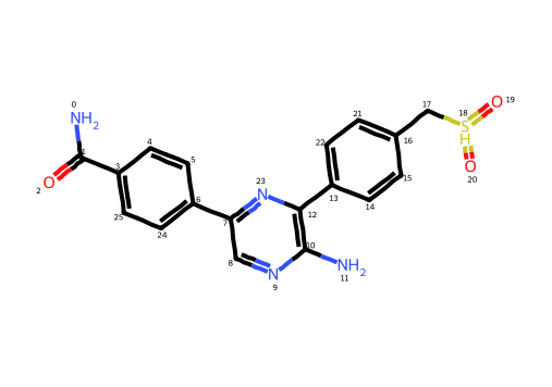 NC(=O)c1ccc(-c2cnc(N)c(-c3ccc(C[SH](=O)=O)cc3)n2)cc1